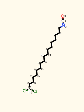 O=C=NCCCCCCCCCCCCCCCCC[SiH](Cl)Cl